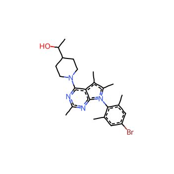 Cc1nc(N2CCC(C(C)O)CC2)c2c(C)c(C)n(-c3c(C)cc(Br)cc3C)c2n1